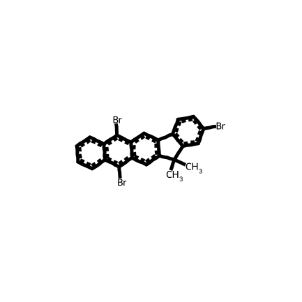 CC1(C)c2cc(Br)ccc2-c2cc3c(Br)c4ccccc4c(Br)c3cc21